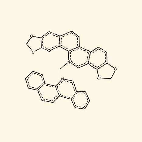 C[n+]1cc2c3c(ccc2c2ccc4cc5c(cc4c21)OCO5)OCO3.c1ccc2c(c1)cnc1c3ccccc3ccc21